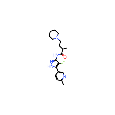 Cc1ccc(-c2[nH]nc(NC(=O)C(C)CCN3CCCCC3)c2F)cn1